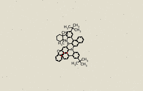 CC(C)(C)c1ccc(N2c3cc4c(cc3B3c5c2cc2ccccc2c5-c2cc(C(C)(C)C)cc5c2N3C2(C)CCCCC52C)oc2ccccc24)c(-c2ccccc2)c1